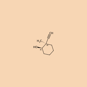 C#C[C@@]1(C)CCCC[C@H]1O